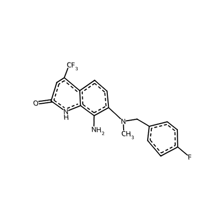 CN(Cc1ccc(F)cc1)c1ccc2c(C(F)(F)F)cc(=O)[nH]c2c1N